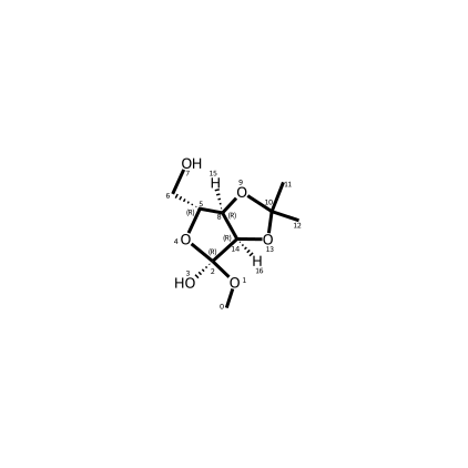 CO[C@@]1(O)O[C@H](CO)[C@H]2OC(C)(C)O[C@H]21